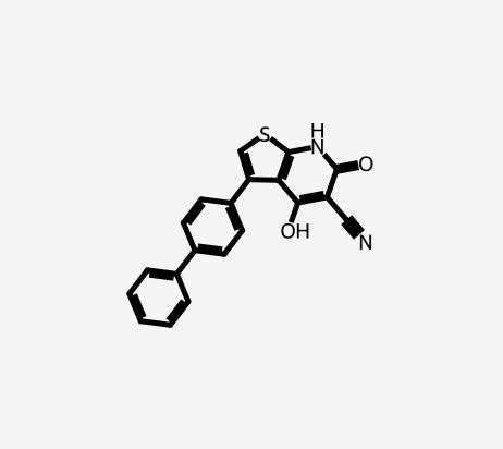 N#Cc1c(O)c2c(-c3ccc(-c4ccccc4)cc3)csc2[nH]c1=O